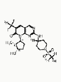 [2H]C1(Nc2ncc3cc(C([2H])(F)F)c(=O)n([C@H]4CC[C@H](O)[C@@H]4C)c3n2)CCN(S(=O)(=O)C([2H])([2H])[2H])CC1